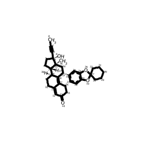 CC#C[C@]1(O)CC[C@H]2[C@@H]3CCC4=CC(=O)CCC4=C3[C@@H](c3ccc4c(c3)OC3(CCCCC3)O4)C[C@@]21C